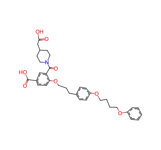 O=C(O)CC1CCN(C(=O)c2cc(C(=O)O)ccc2OCCCc2ccc(OCCCCOc3ccccc3)cc2)CC1